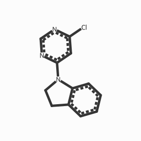 Clc1cc(N2CCc3ccccc32)ncn1